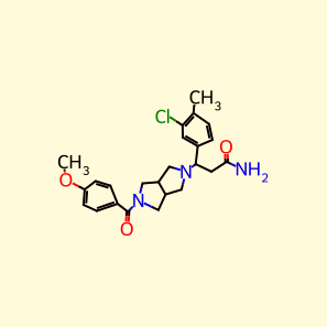 COc1ccc(C(=O)N2CC3CN(C(CC(N)=O)c4ccc(C)c(Cl)c4)CC3C2)cc1